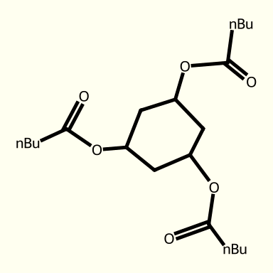 CCCCC(=O)OC1CC(OC(=O)CCCC)CC(OC(=O)CCCC)C1